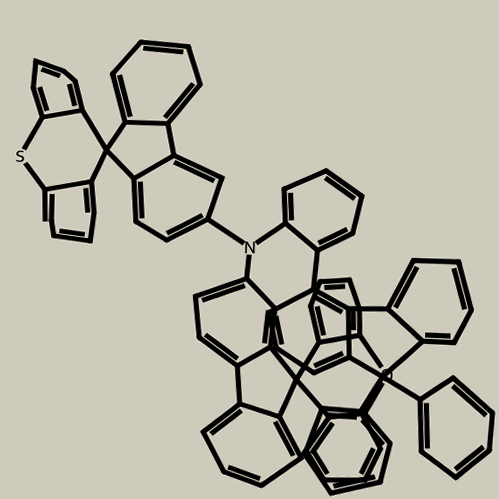 c1ccc(C2(c3ccccc3)c3ccccc3-c3c(-c4ccccc4N(c4ccc5c(c4)-c4ccccc4C54c5ccccc5Sc5ccccc54)c4ccc5c(c4)C4(c6ccccc6Oc6ccccc64)c4ccccc4-5)cccc32)cc1